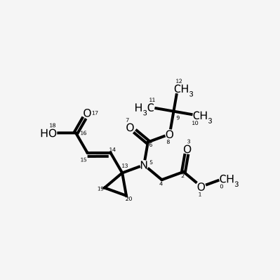 COC(=O)CN(C(=O)OC(C)(C)C)C1(/C=C/C(=O)O)CC1